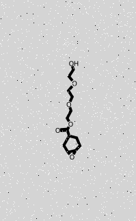 O=C(OCCOCCOCCO)C1CCC2OC2C1